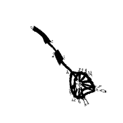 C#CC#C[C]12[CH]3[CH]4[CH]5[CH]1[Fe]45321678[CH]2[CH]1[CH]6[CH]7[CH]28